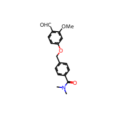 COc1cc(OCc2ccc(C(=O)N(C)C)cc2)ccc1C=O